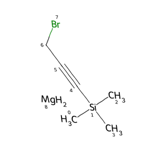 C[Si](C)(C)C#CCBr.[MgH2]